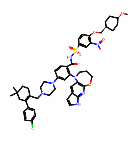 CO[C@H]1CC[C@@H](COc2ccc(S(=O)(=O)NC(=O)c3ccc(N4CCN(CC5=C(c6ccc(Cl)cc6)CC(C)(C)CC5)CC4)cc3N3CCCOc4nc5[nH]ccc5cc43)cc2[N+](=O)[O-])CC1